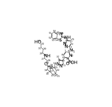 Cc1cc(N(C)c2ccc(-c3cnn(CC45CC6(C)CC(C)(C4)CC(OCCNCCCCO)(C6)C5)c3C)c(C(=O)O)n2)nnc1Nc1nc2ccccc2s1